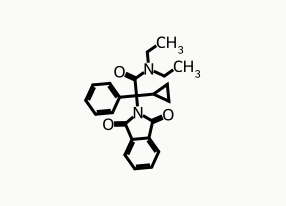 CCN(CC)C(=O)C(c1ccccc1)(C1CC1)N1C(=O)c2ccccc2C1=O